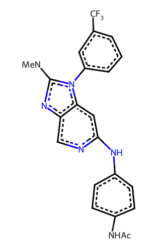 CNc1nc2cnc(Nc3ccc(NC(C)=O)cc3)cc2n1-c1cccc(C(F)(F)F)c1